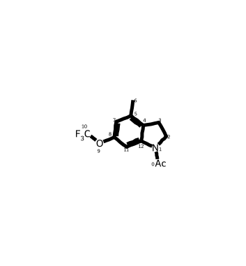 CC(=O)N1CCc2c(C)cc(OC(F)(F)F)cc21